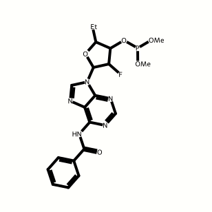 CCC1OC(n2cnc3c(NC(=O)c4ccccc4)ncnc32)C(F)C1OP(OC)OC